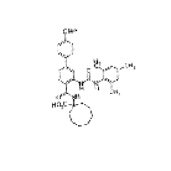 COc1ccc(-c2ccc(C(=O)NC3(C(=O)O)CCCCCCC3)c(NC(=O)Nc3c(C)cc(C)cc3C)c2)cc1